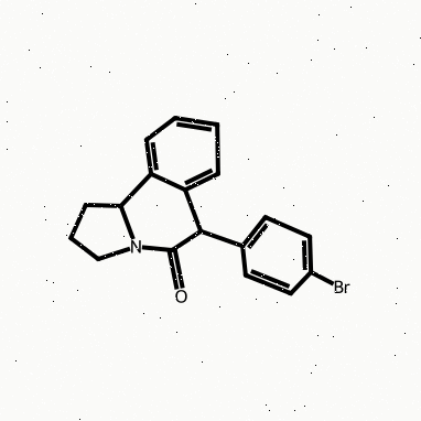 O=C1C(c2ccc(Br)cc2)c2ccccc2C2CCCN12